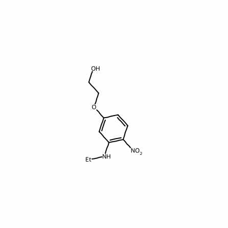 CCNc1cc(OCCO)ccc1[N+](=O)[O-]